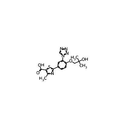 Cc1nc(-c2ccc(OCC(C)(C)O)c(-n3cnnn3)c2)sc1C(=O)O